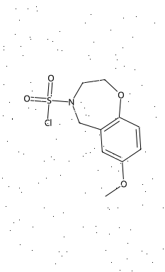 COc1ccc2c(c1)CN(S(=O)(=O)Cl)CCO2